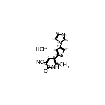 Cc1[nH]c(=O)c(C#N)cc1-c1cc(-n2ccnc2)cs1.Cl